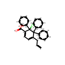 C=CCC1=CC=C(C(=O)O)C(Cl)(c2ccccc2)C1(c1ccccc1)c1ccccc1